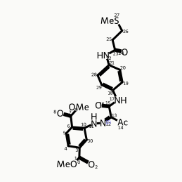 COC(=O)c1ccc(C(=O)OC)c(N/N=C(/C(C)=O)C(=O)Nc2ccc(NC(=O)CCSC)cc2)c1